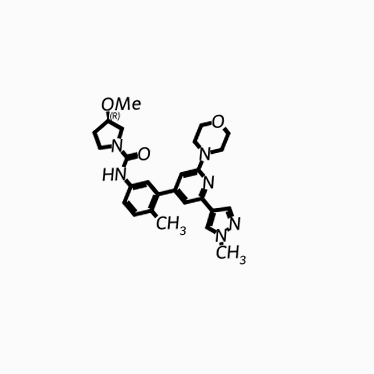 CO[C@@H]1CCN(C(=O)Nc2ccc(C)c(-c3cc(-c4cnn(C)c4)nc(N4CCOCC4)c3)c2)C1